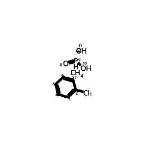 C.Clc1ccccc1.O=[PH](O)O